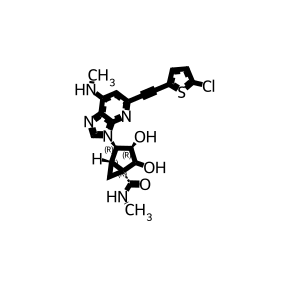 CNC(=O)[C@]12C[C@@H]1[C@@H](n1cnc3c(NC)cc(C#Cc4ccc(Cl)s4)nc31)[C@@H](O)C2O